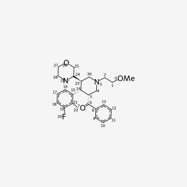 COCCN1C[C@H](C(=O)c2ccccc2)[C@H](c2cccc(F)c2C)[C@@H](C2COCC[N]2)C1